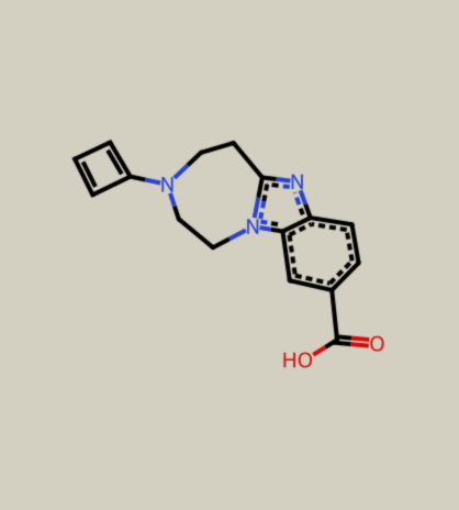 O=C(O)c1ccc2nc3n(c2c1)CCN(C1=CC=C1)CC3